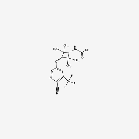 CC1(C)[C@H](NC(=O)O)C(C)(C)[C@H]1Oc1cnc(C#N)c(C(F)(F)F)c1